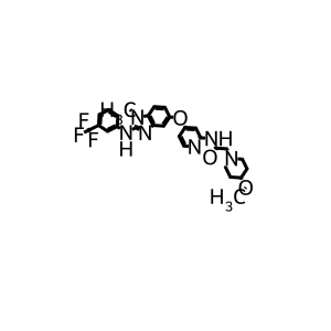 COC1CCN(CC(=O)Nc2cc(Oc3ccc4c(c3)nc(Nc3cccc(C(F)(F)F)c3)n4C)ccn2)CC1